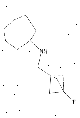 FC12CC(CNC3CCCCCC3)(C1)C2